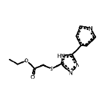 CCOC(=O)CSc1nnc(-c2ccncc2)[nH]1